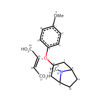 COc1ccc(OC2CC3CCC(C2)N3C)cc1.O=C(O)/C=C/C(=O)O